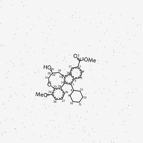 COC(=O)c1ccc2c(C3CCCCC3)c3n(c2c1)C[C@H](O)COc1c(OC)cccc1-3